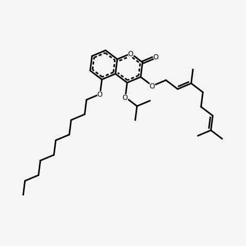 CCCCCCCCCCOc1cccc2oc(=O)c(OC/C=C(\C)CCC=C(C)C)c(OC(C)C)c12